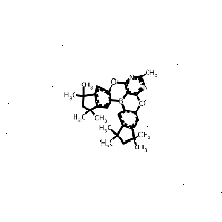 Cc1nc2c3c(n1)Oc1cc4c(cc1B3c1cc3c(cc1O2)C(C)(C)CC3(C)C)C(C)(C)CC4(C)C